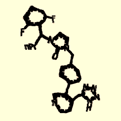 CCCC(c1c(F)cccc1F)n1ccn(Cc2ccc(-c3cnccc3-c3nnn[nH]3)cc2)c1=O